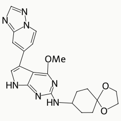 COc1nc(NC2CCC3(CC2)OCCO3)nc2[nH]cc(-c3ccn4ncnc4c3)c12